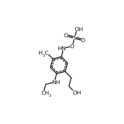 CCNc1cc(C)c(NOS(=O)(=O)O)cc1CCO